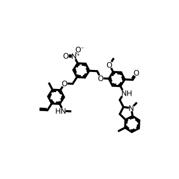 C=Cc1cc(C)c(OCc2cc(COc3cc(NCC4Cc5c(C)cccc5N4C)c(C=O)cc3OC)cc([N+](=O)[O-])c2)cc1NC